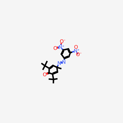 CC1(N=Nc2cc([N+](=O)[O-])cc([N+](=O)[O-])c2)C=C(C(C)(C)C)C(=O)C(C(C)(C)C)=C1